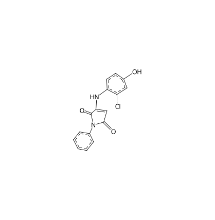 O=C1C=C(Nc2ccc(O)cc2Cl)C(=O)N1c1ccccc1